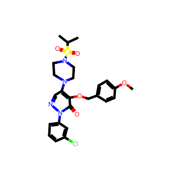 COc1ccc(COc2c(N3CCN(S(=O)(=O)C(C)C)CC3)cnn(-c3cccc(Cl)c3)c2=O)cc1